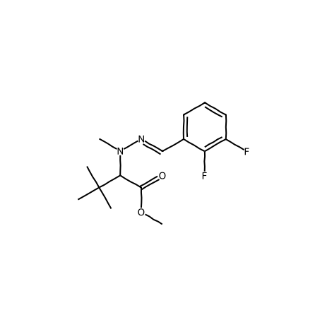 COC(=O)C(N(C)N=Cc1cccc(F)c1F)C(C)(C)C